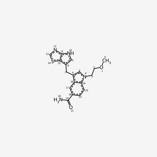 COCCn1cc(Cc2c[nH]c3ncsc23)c2cc(C(N)=O)ccc21